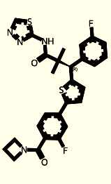 CC(C)(C(=O)Nc1nncs1)[C@@H](c1cccc(F)c1)c1ccc(-c2ccc(C(=O)N3CCC3)c(F)c2)s1